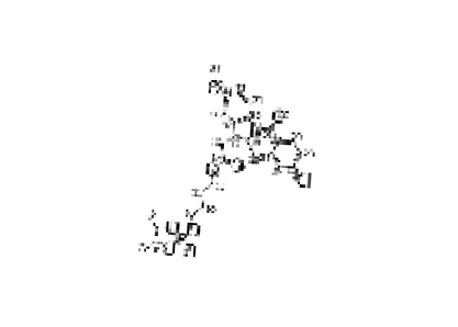 CCOP(=O)(OCC)OCCCCOC(=O)Cc1c(C)n(C(=O)c2ccc(Cl)cc2)c2ccc(OC)cc12